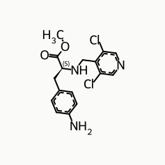 COC(=O)[C@H](Cc1ccc(N)cc1)NCc1c(Cl)cncc1Cl